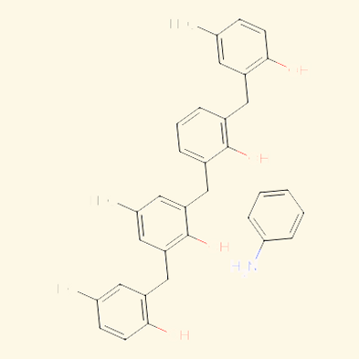 Cc1ccc(O)c(Cc2cccc(Cc3cc(C)cc(Cc4cc(C)ccc4O)c3O)c2O)c1.Nc1ccccc1